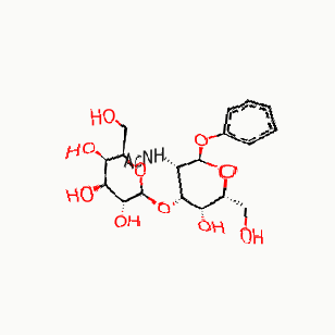 CC(=O)N[C@@H]1[C@@H](Oc2ccccc2)O[C@H](CO)[C@H](O)[C@@H]1O[C@@H]1O[C@H](CO)[C@H](O)[C@H](O)[C@H]1O